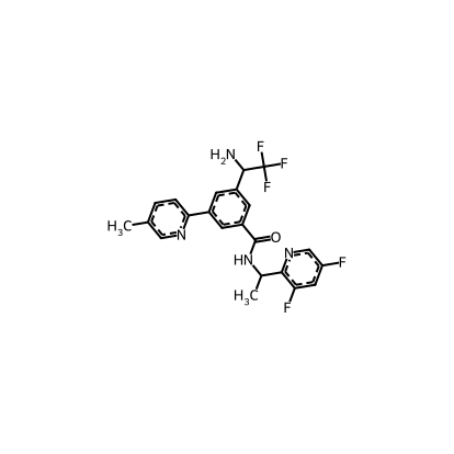 Cc1ccc(-c2cc(C(=O)NC(C)c3ncc(F)cc3F)cc(C(N)C(F)(F)F)c2)nc1